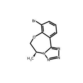 C[C@H]1COc2c(Br)cccc2-c2nnnn21